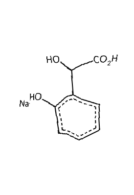 O=C(O)C(O)c1ccccc1O.[Na]